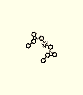 c1ccc(-c2ccc3c(c2)c2ccccc2n3-c2cccc(-c3nsc(-c4cccc(-n5c6ccccc6c6cc(-c7ccccc7)ccc65)c4)n3)c2)cc1